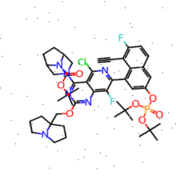 C#Cc1c(F)ccc2cc(OP(=O)(OC(C)(C)C)OC(C)(C)C)cc(-c3nc(Cl)c4c(N5CC6CCC(C5)N6C(=O)OC(C)(C)C)nc(OCC56CCCN5CCC6)nc4c3F)c12